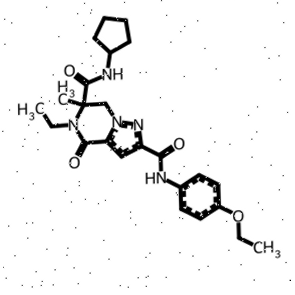 CCOc1ccc(NC(=O)c2cc3n(n2)CC(C)(C(=O)NC2CCCC2)N(CC)C3=O)cc1